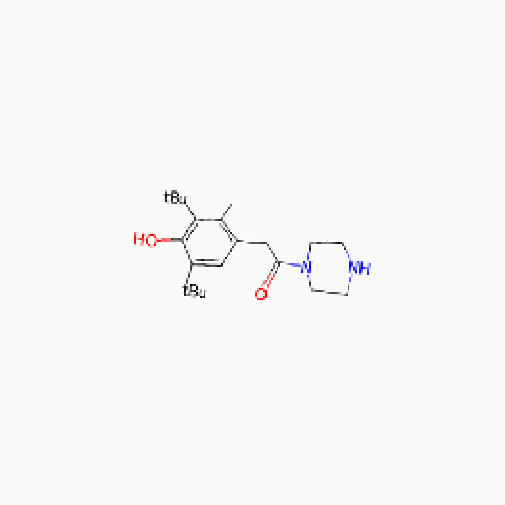 Cc1c(CC(=O)N2CCNCC2)cc(C(C)(C)C)c(O)c1C(C)(C)C